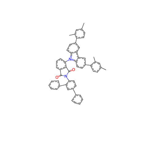 Cc1ccc(-c2ccc3c(c2)c2cc(-c4ccc(C)cc4C)ccc2n3-c2cccc3c2C(=O)N(c2ccc(-c4ccccc4)cc2-c2ccccc2)C3=O)c(C)c1